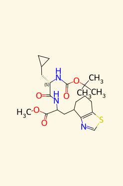 COC(=O)C(CC1CCCc2scnc21)NC(=O)[C@H](CC1CC1)NC(=O)OC(C)(C)C